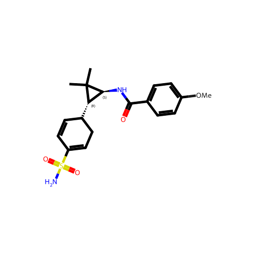 COc1ccc(C(=O)N[C@H]2[C@H](C3C=CC(S(N)(=O)=O)=CC3)C2(C)C)cc1